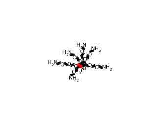 COC(CCOCCOCCN)(CCOCCOCCOCCN)C(CCCCOCCN)(COCCOCCN)N(CCCOCCN)CCOCCN